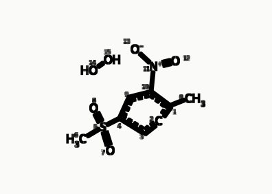 Cc1ccc(S(C)(=O)=O)cc1[N+](=O)[O-].OO